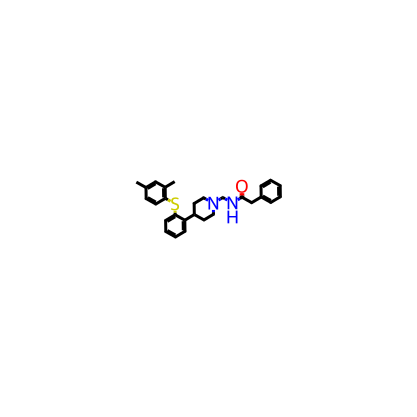 Cc1ccc(Sc2ccccc2C2CCN(CNC(=O)Cc3ccccc3)CC2)c(C)c1